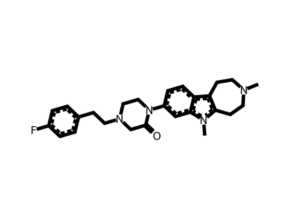 CN1CCc2c(n(C)c3cc(N4CCN(CCc5ccc(F)cc5)CC4=O)ccc23)CC1